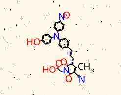 CC1=C(C#N)C(=O)N(CC(=O)O)C(=O)/C1=C\C=C\c1ccc(N(c2ccc(O)cc2)c2ccc(N=O)cc2)cc1